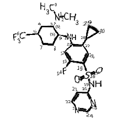 CN(C)[C@H]1CC(C(F)(F)F)CC[C@@H]1Nc1cc(F)c(S(=O)(=O)Nc2ccncn2)cc1C1CC1